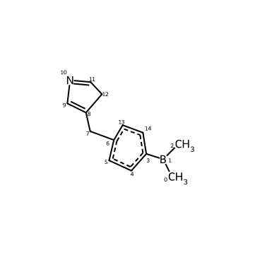 CB(C)c1ccc(CC2=CN=CC2)cc1